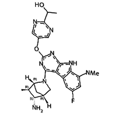 CNc1cc(F)cc2c1[nH]c1nc(Oc3cnc(C(C)O)nc3)nc(N3C[C@H]4C[C@@H]3[C@H](C)[C@H]4N)c12